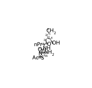 C=CCC1=CC(O)OC([C@@H](CCC)NC(=O)[C@]2(N)CSC(C(C)=O)=N2)=C1